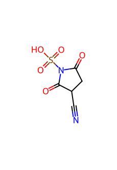 N#CC1CC(=O)N(S(=O)(=O)O)C1=O